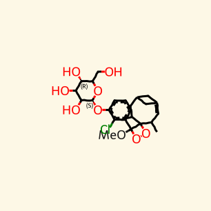 COC1(c2cccc(O[C@@H]3OC(CO)[C@H](O)C(O)C3O)c2Cl)OOC12C(C)C=C1CC(C1)CC2C